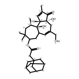 CC(=O)OCC1=CC2CC(OC(=O)CC34CC5CC(CC(C5)C3)C4)C(C)(C)C[C@@H](C)[C@]2(O)[C@@H]2C=C(C)C(=O)[C@@]2(O)C1